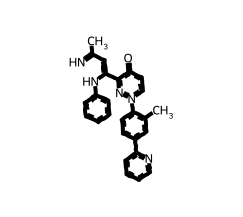 CC(=N)/C=C(\Nc1ccccc1)c1nn(-c2ccc(-c3ccccn3)cc2C)ccc1=O